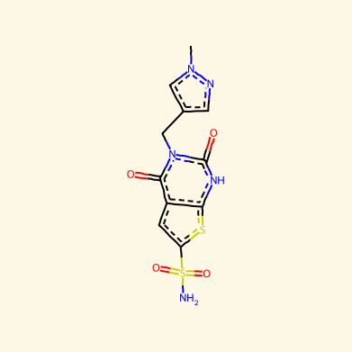 Cn1cc(Cn2c(=O)[nH]c3sc(S(N)(=O)=O)cc3c2=O)cn1